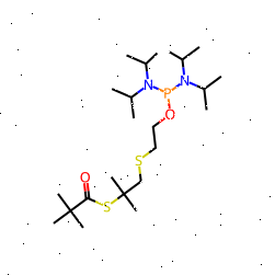 CC(C)N(C(C)C)P(OCCSCC(C)(C)SC(=O)C(C)(C)C)N(C(C)C)C(C)C